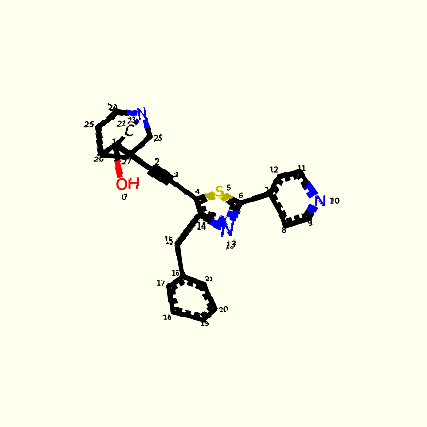 OC1(C#Cc2sc(-c3ccncc3)nc2Cc2ccccc2)CN2CCC1CC2